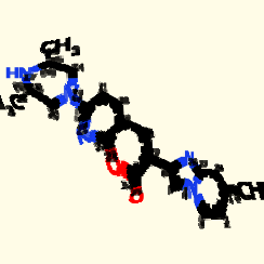 Cc1ccn2cc(-c3cc4ccc(N5C[C@@H](C)N[C@@H](C)C5)nc4oc3=O)nc2c1